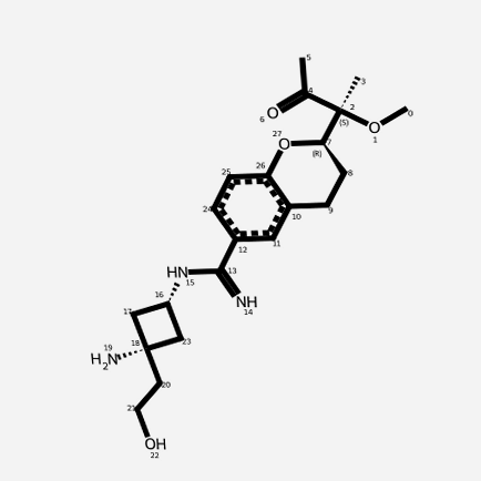 CO[C@](C)(C(C)=O)[C@H]1CCc2cc(C(=N)N[C@H]3C[C@](N)(CCO)C3)ccc2O1